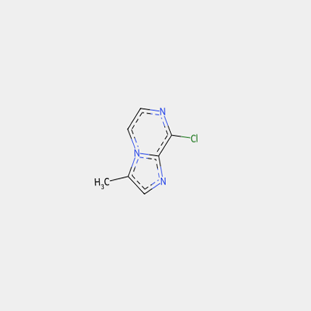 Cc1cnc2c(Cl)nccn12